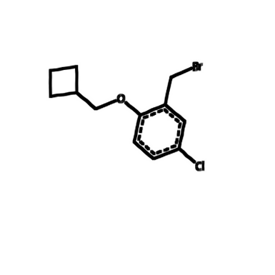 Clc1ccc(OCC2CCC2)c(CBr)c1